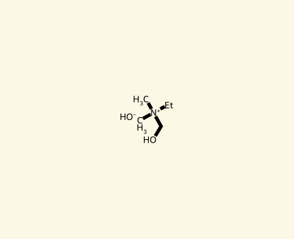 CC[N+](C)(C)CO.[OH-]